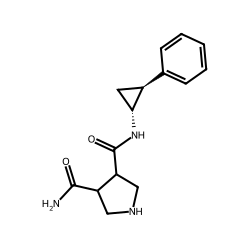 NC(=O)C1CNCC1C(=O)N[C@@H]1C[C@H]1c1ccccc1